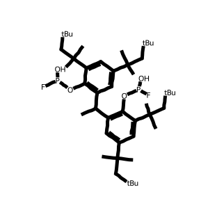 CC(c1cc(C(C)(C)CC(C)(C)C)cc(C(C)(C)CC(C)(C)C)c1OP(O)F)c1cc(C(C)(C)CC(C)(C)C)cc(C(C)(C)CC(C)(C)C)c1OP(O)F